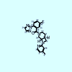 Cc1ccnc(N2C[C@@H]3CCN(C(=O)c4cc(F)ccc4-n4nccn4)C[C@@H]32)c1